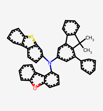 CC1(C)c2ccccc2-c2cc(N(c3ccc4c(c3)sc3ccccc34)c3cccc4oc5ccccc5c34)cc(-c3ccccc3)c21